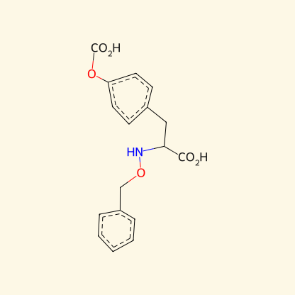 O=C(O)Oc1ccc(CC(NOCc2ccccc2)C(=O)O)cc1